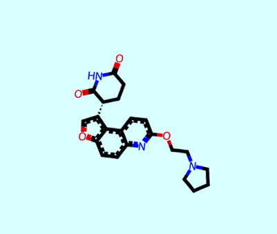 O=C1CC[C@H](c2coc3ccc4nc(OCCN5CCCC5)ccc4c23)C(=O)N1